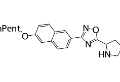 CCCCCOc1ccc2cc(-c3noc(C4CCCN4)n3)ccc2c1